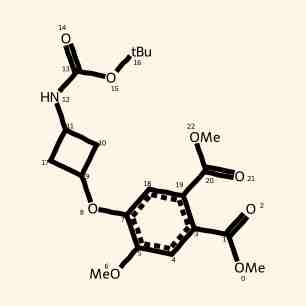 COC(=O)c1cc(OC)c(OC2CC(NC(=O)OC(C)(C)C)C2)cc1C(=O)OC